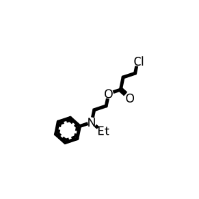 CCN(CCOC(=O)CCCl)c1ccccc1